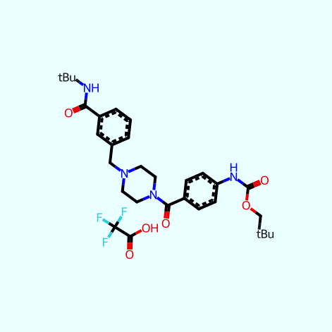 CC(C)(C)COC(=O)Nc1ccc(C(=O)N2CCN(Cc3cccc(C(=O)NC(C)(C)C)c3)CC2)cc1.O=C(O)C(F)(F)F